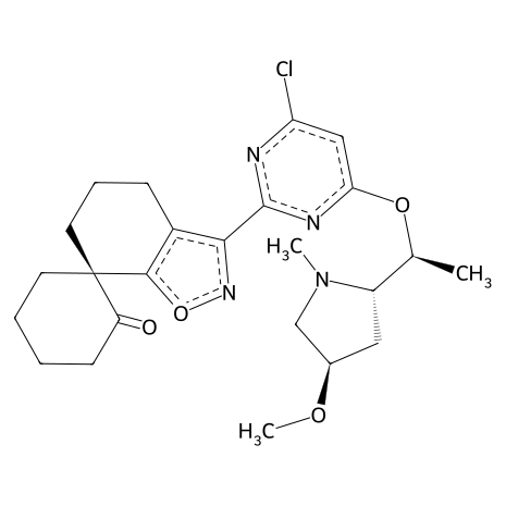 CO[C@@H]1C[C@@H]([C@H](C)Oc2cc(Cl)nc(-c3noc4c3CCC[C@@]43CCCCC3=O)n2)N(C)C1